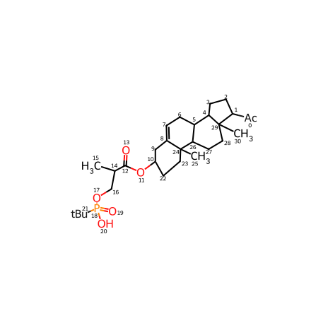 CC(=O)C1CCC2C3CC=C4CC(OC(=O)C(C)COP(=O)(O)C(C)(C)C)CCC4(C)C3CCC12C